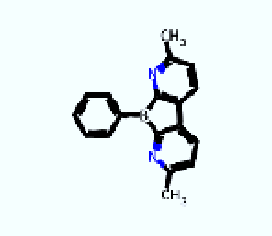 Cc1ccc2c(n1)B(c1ccccc1)c1nc(C)ccc1-2